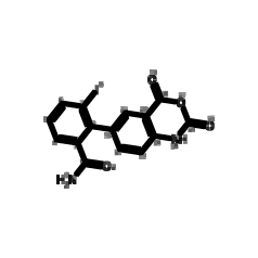 NC(=O)c1cccc(I)c1-c1ccc2[nH]c(=O)oc(=O)c2c1